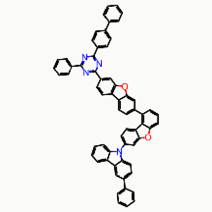 c1ccc(-c2ccc(-c3nc(-c4ccccc4)nc(-c4ccc5c(c4)oc4cc(-c6cccc7oc8cc(-n9c%10ccccc%10c%10cc(-c%11ccccc%11)ccc%109)ccc8c67)ccc45)n3)cc2)cc1